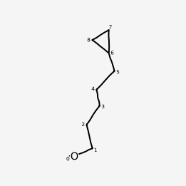 [O]CCCCCC1CC1